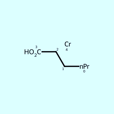 CCCCCC(=O)O.[Cr]